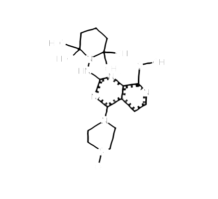 CSc1nccc2c(N3CC[S+]([O-])CC3)nc(NN3C(C)(C)CCCC3(C)C)nc12